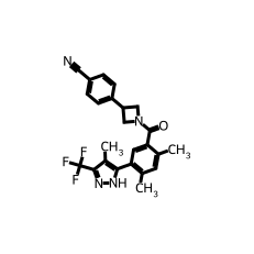 Cc1cc(C)c(-c2[nH]nc(C(F)(F)F)c2C)cc1C(=O)N1CC(c2ccc(C#N)cc2)C1